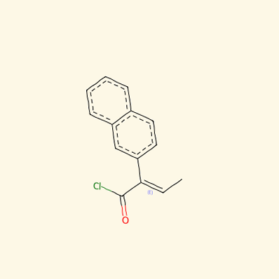 C/C=C(/C(=O)Cl)c1ccc2ccccc2c1